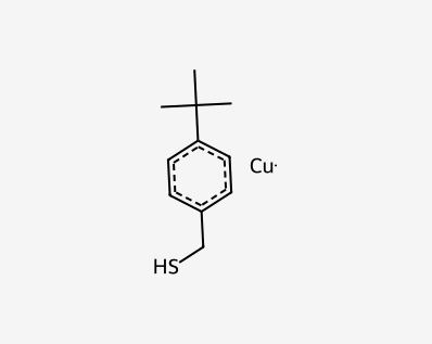 CC(C)(C)c1ccc(CS)cc1.[Cu]